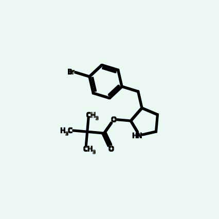 CC(C)(C)C(=O)OC1NCCC1Cc1ccc(Br)cc1